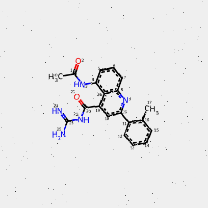 CC(=O)Nc1cccc2nc(-c3ccccc3C)cc(C(=O)NC(=N)N)c12